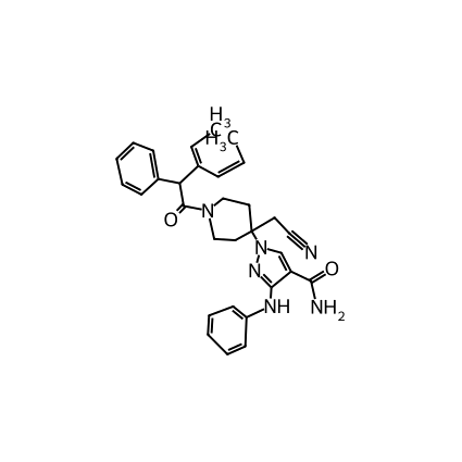 C/C=C\C(=C/C)C(C(=O)N1CCC(CC#N)(n2cc(C(N)=O)c(Nc3ccccc3)n2)CC1)c1ccccc1